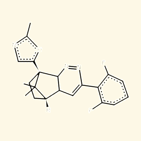 Cc1ncc([C@@]23CC[C@@H](C4C=C(c5c(F)cccc5F)N=NC42)C3(C)C)o1